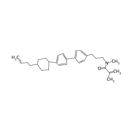 C=CCCC1CCC(c2ccc(-c3ccc(CCCN(C)C(=O)C(=C)C)cc3)cc2)CC1